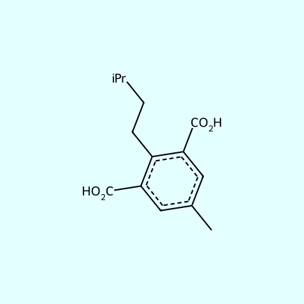 Cc1cc(C(=O)O)c(CCC(C)C)c(C(=O)O)c1